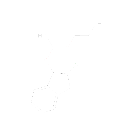 CCCOC(C)OC1c2ccccc2CC1Cl